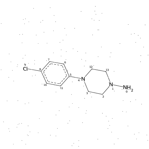 NN1CCN(c2ccc(Cl)cc2)CC1